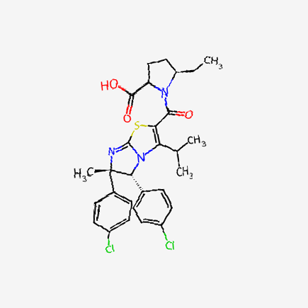 CC[C@@H]1CCC(C(=O)O)N1C(=O)C1=C(C(C)C)N2C(=N[C@@](C)(c3ccc(Cl)cc3)[C@H]2c2ccc(Cl)cc2)S1